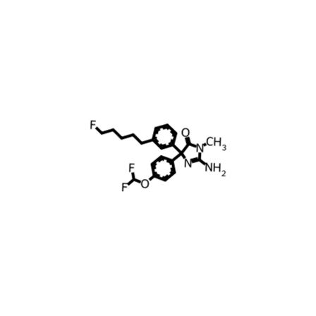 CN1C(=O)C(c2ccc(OC(F)F)cc2)(c2cccc(CCCCCF)c2)N=C1N